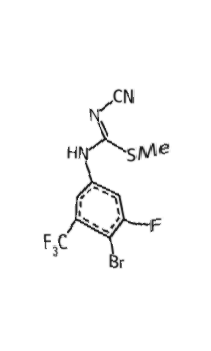 CS/C(=N\C#N)Nc1cc(F)c(Br)c(C(F)(F)F)c1